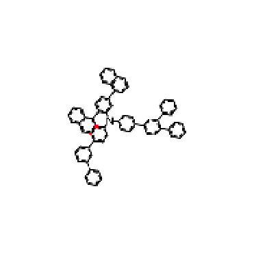 c1ccc(-c2cccc(-c3ccc(N(c4ccc(-c5ccc(-c6ccccc6)c(-c6ccccc6)c5)cc4)c4cc(-c5cccc6ccccc56)ccc4-c4cccc5ccccc45)cc3)c2)cc1